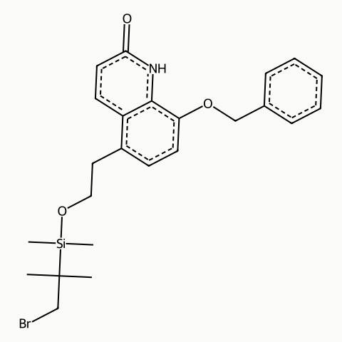 CC(C)(CBr)[Si](C)(C)OCCc1ccc(OCc2ccccc2)c2[nH]c(=O)ccc12